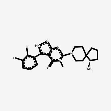 Cn1c(N2CCC3(CCC[C@H]3N)CC2)nc2n[nH]c(-c3cccc(Cl)c3Cl)c2c1=O